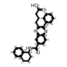 O=C(O)CCCc1nc2cc(C(=O)NC3CCCc4ccccc43)ccc2nc1-c1ccccc1